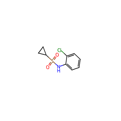 O=S(=O)(Nc1ccccc1Cl)C1CC1